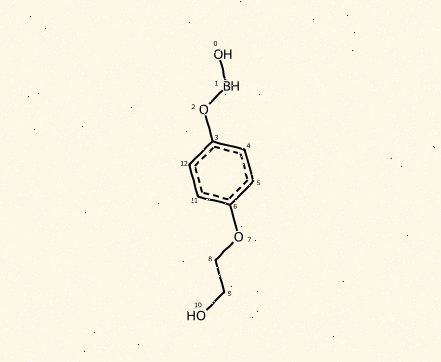 OBOc1ccc(OCCO)cc1